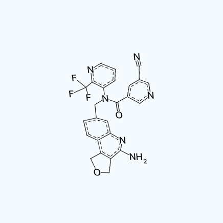 N#Cc1cncc(C(=O)N(Cc2ccc3c4c(c(N)nc3c2)COC4)c2cccnc2C(F)(F)F)c1